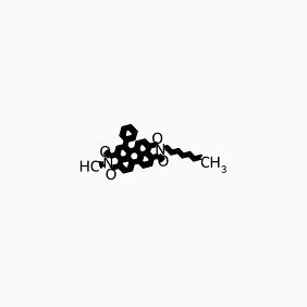 C#CN1C(=O)c2ccc3c4ccc5c6c(ccc(c7c(-c8ccccc8)cc(c2c37)C1=O)c64)C(=O)N(CCCCCCCC)C5=O